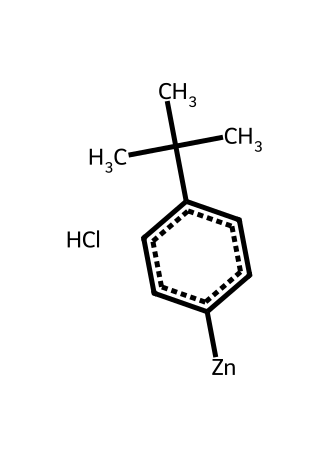 CC(C)(C)c1cc[c]([Zn])cc1.Cl